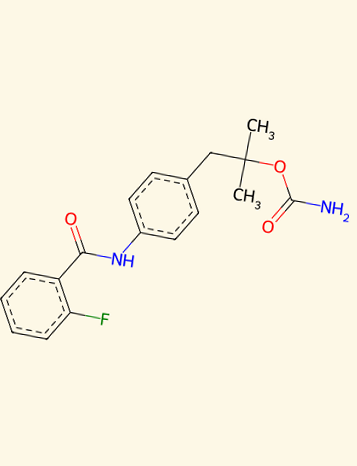 CC(C)(Cc1ccc(NC(=O)c2ccccc2F)cc1)OC(N)=O